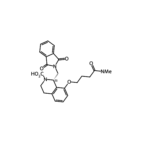 CNC(=O)CCCOc1cccc2c1[C@@H](CN1C(=O)c3ccccc3C1=O)N(C(=O)O)CC2